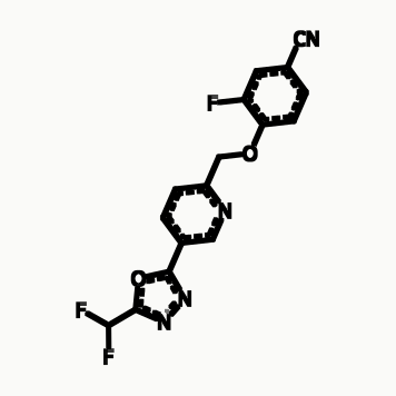 N#Cc1ccc(OCc2ccc(-c3nnc(C(F)F)o3)cn2)c(F)c1